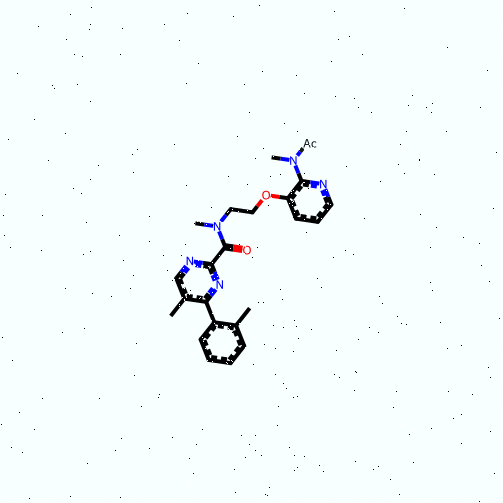 CC(=O)N(C)c1ncccc1OCCN(C)C(=O)c1ncc(C)c(-c2ccccc2C)n1